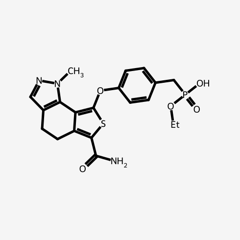 CCOP(=O)(O)Cc1ccc(Oc2sc(C(N)=O)c3c2-c2c(cnn2C)CC3)cc1